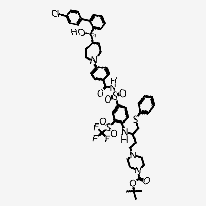 CC(C)(C)OC(=O)N1CCN(CCC(CSc2ccccc2)Nc2ccc(S(=O)(=O)NC(=O)c3ccc(N4CCC([C@@H](O)c5ccccc5-c5ccc(Cl)cc5)CC4)cc3)cc2S(=O)(=O)C(F)(F)F)CC1